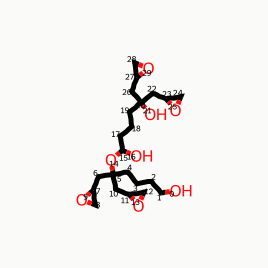 OCCCCC(CC1CO1)(CC1CO1)OC(O)CCCC(O)(CC1CO1)CC1CO1